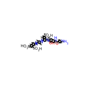 Cc1cc(N=Nc2ccc(N=Nc3c(S(=O)(=O)O)cc4cc(NC(=O)c5ccc(N)cc5)ccc4c3O)c3cc(S(=O)(=O)O)ccc23)c(C)cc1N=Nc1ccc2cc(S(=O)(=O)O)cc(S(=O)(=O)O)c2c1